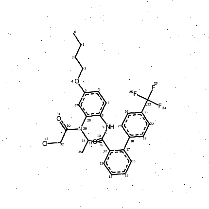 CCCCOc1ccc(NC(=O)c2ccccc2-c2ccc(C(F)(F)F)cc2)c(N(C(=O)CCl)C(C)C)c1